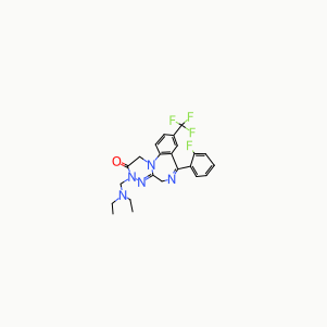 CCN(CC)CN1N=C2CN=C(c3ccccc3F)c3cc(C(F)(F)F)ccc3N2CC1=O